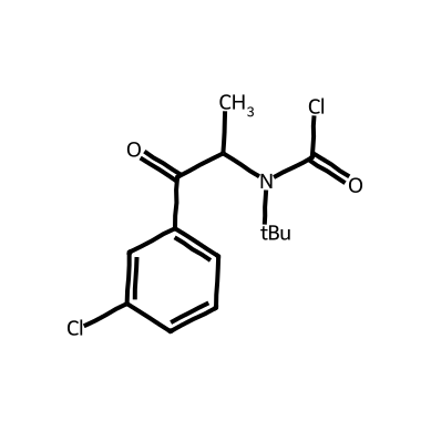 CC(C(=O)c1cccc(Cl)c1)N(C(=O)Cl)C(C)(C)C